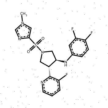 Cn1cnc(S(=O)(=O)N2C[C@@H](Nc3ccc(F)c(F)c3)[C@H](c3ncccc3F)C2)c1